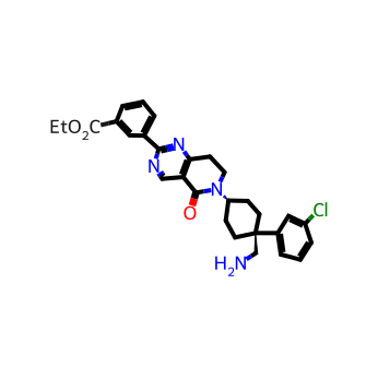 CCOC(=O)c1cccc(-c2ncc3c(n2)CCN([C@H]2CC[C@@](CN)(c4cccc(Cl)c4)CC2)C3=O)c1